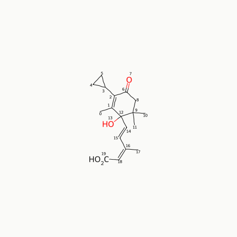 CC1=C(C2CC2)C(=O)CC(C)(C)C1(O)/C=C/C(C)=C\C(=O)O